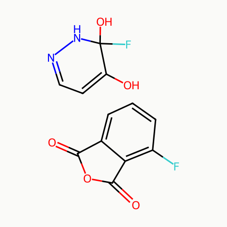 O=C1OC(=O)c2c(F)cccc21.OC1=CC=NNC1(O)F